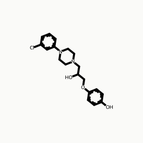 Oc1ccc(OCC(O)CN2CCN(c3cccc(Cl)c3)CC2)cc1